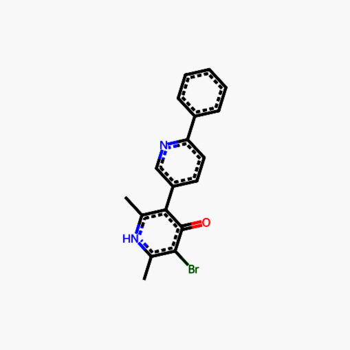 Cc1[nH]c(C)c(-c2ccc(-c3ccccc3)nc2)c(=O)c1Br